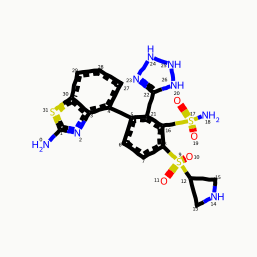 Nc1nc2c(-c3ccc(S(=O)(=O)C4CNC4)c(S(N)(=O)=O)c3C3=NNNN3)cccc2s1